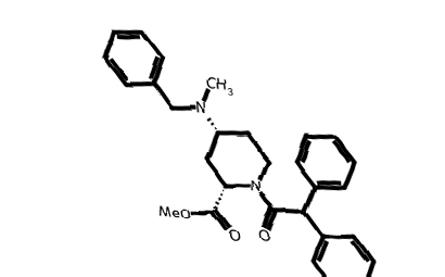 COC(=O)[C@@H]1C[C@H](N(C)Cc2ccccc2)CCN1C(=O)C(c1ccccc1)c1ccccc1